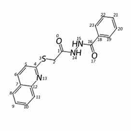 O=C(CSc1ccc2ccccc2n1)NNC(=O)c1ccccc1